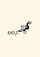 CCOC(=O)CCNC(=O)c1ccc(CBr)s1